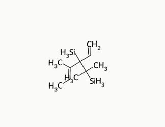 C=CC([SiH3])(C(C)=CC)C(C)(C)[SiH3]